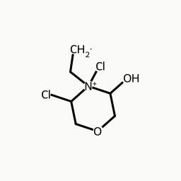 [CH2]C[N+]1(Cl)C(O)COCC1Cl